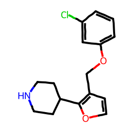 Clc1cccc(OCc2ccoc2C2CCNCC2)c1